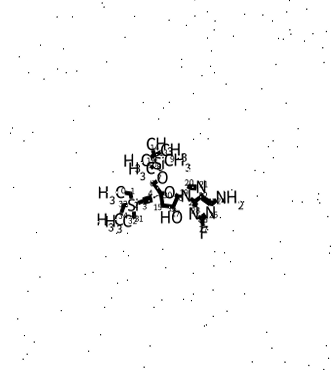 CC[Si](C#C[C@@]1(CO[Si](C)(C)C(C)(C)C)C[C@@H](O)[C@H](n2cnc3c(N)nc(F)nc32)O1)(CC)CC